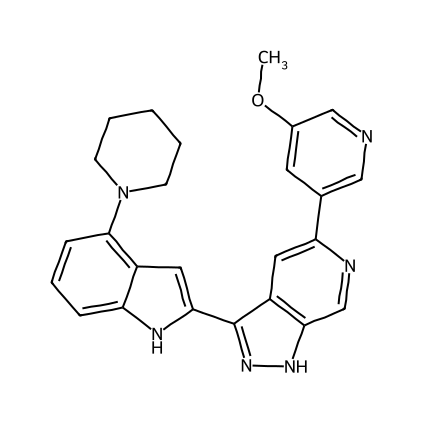 COc1cncc(-c2cc3c(-c4cc5c(N6CCCCC6)cccc5[nH]4)n[nH]c3cn2)c1